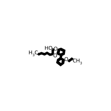 CCCCCCC(Oc1ccccc1-c1ccccc1OCCC)C(=O)O